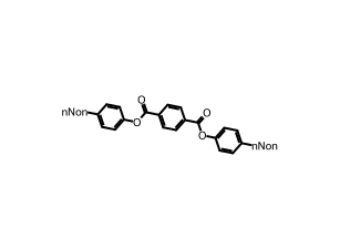 CCCCCCCCCc1ccc(OC(=O)c2ccc(C(=O)Oc3ccc(CCCCCCCCC)cc3)cc2)cc1